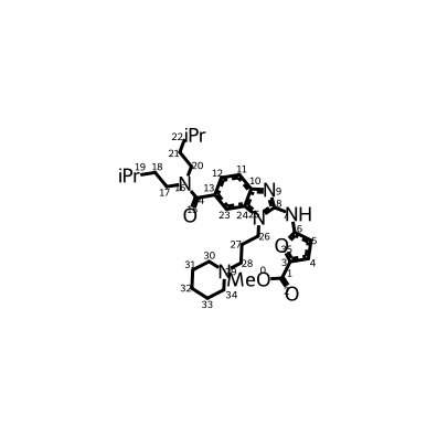 COC(=O)c1ccc(Nc2nc3ccc(C(=O)N(CCC(C)C)CCC(C)C)cc3n2CCCN2CCCCC2)o1